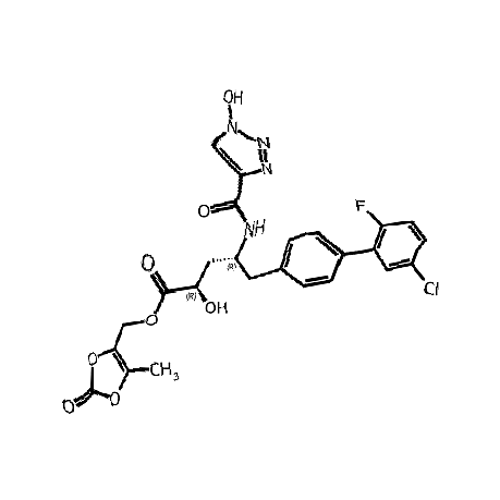 Cc1oc(=O)oc1COC(=O)[C@H](O)C[C@@H](Cc1ccc(-c2cc(Cl)ccc2F)cc1)NC(=O)c1cn(O)nn1